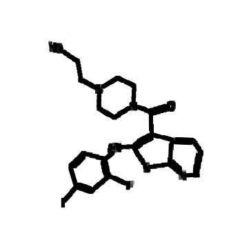 O=C(c1c(Nc2ccc(I)cc2F)sc2ncccc12)N1CCN(CCO)CC1